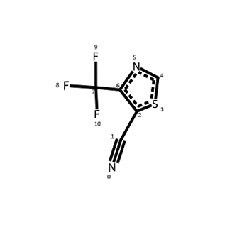 N#Cc1scnc1C(F)(F)F